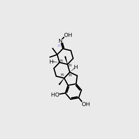 CC1(C)/C(=N/O)CC[C@]2(C)[C@H]3Cc4cc(O)cc(O)c4[C@]3(C)CC[C@@H]12